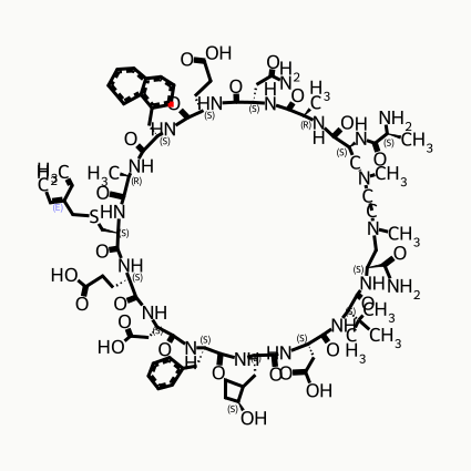 C=C/C(=C\C)CSC[C@H]1NC(=O)[C@@H](C)NC(=O)[C@H](Cc2cccc3ccccc23)NC(=O)[C@H](CCC(=O)O)NC(=O)[C@H](CC(N)=O)NC(=O)[C@@H](C)NC(=O)[C@@H](NC(=O)[C@H](C)N)CN(C)CCN(C)C[C@@H](C(N)=O)NC(=O)[C@H](C(C)(C)C)NC(=O)[C@H](CC(=O)O)NC(=O)[C@H](CC2CC[C@@H]2O)NC(=O)[C@H](Cc2ccccc2)NC(=O)[C@H](CC(=O)O)NC(=O)[C@H](CCC(=O)O)NC1=O